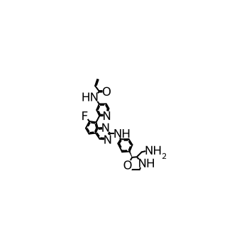 C=CC(=O)Nc1ccnc(-c2c(F)ccc3cnc(Nc4ccc([C@@H]5OCCNC5CN)cc4)nc23)c1